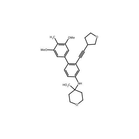 COc1cc(-c2ccc(NC3(C(=O)O)CCOCC3)cc2C#CC2CCOC2)cc(OC)c1C